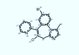 Cc1cnc2n1-c1ccc(Br)cc1C(c1ccccn1)=[N+]([O-])C2